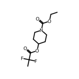 CCOC(=O)N1CCC(OC(=O)C(C)(F)F)CC1